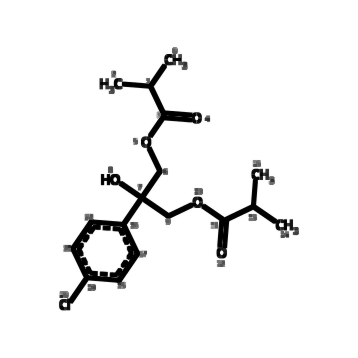 CC(C)C(=O)OCC(O)(COC(=O)C(C)C)c1ccc(Cl)cc1